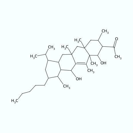 CCCCCC1CC(C(C)C)C2CC3(C)CC4(C)CC(C)C(C(C)=O)C(O)C4(C)C(C)=C3C(O)C2C1C